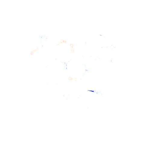 CC(C)[C@H](N)C(=O)N1C[C@H]2[C@@H]([C@H]1C(=O)NC(CC1CC1)C(O)C(N)=O)C2(C)C